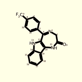 O=C1CN=C(c2ccc(C(F)(F)F)cc2)c2[nH]c3ccccc3c2N1